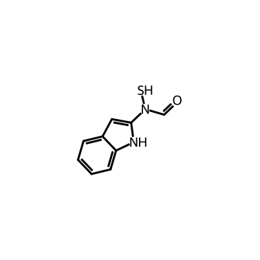 O=CN(S)c1cc2ccccc2[nH]1